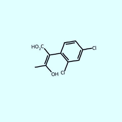 CC(O)=C(C(=O)O)c1ccc(Cl)cc1Cl